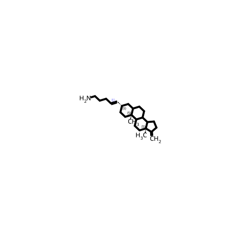 C=C1CCC2C3CCC4C[C@@H](/C=C/CCCN)CC[C@]4(C)C3CC[C@]12C